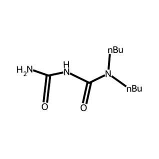 CCCCN(CCCC)C(=O)NC(N)=O